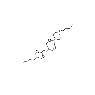 CCCCCC1CCC(C2OCC(CCC3OCC(CCCCC)CO3)CO2)CC1